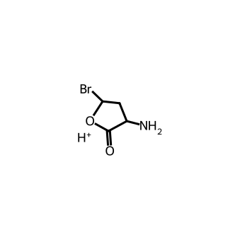 NC1CC(Br)OC1=O.[H+]